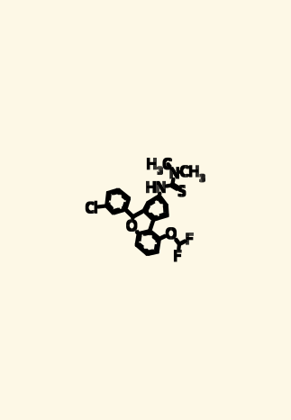 CN(C)C(=S)Nc1ccc2c(c1)C(c1cccc(Cl)c1)Oc1cccc(OC(F)F)c1-2